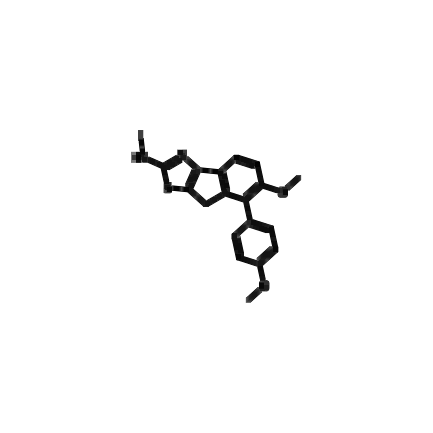 COc1ccc(-c2c(OC)ccc3c2Cc2sc(NI)nc2-3)cc1